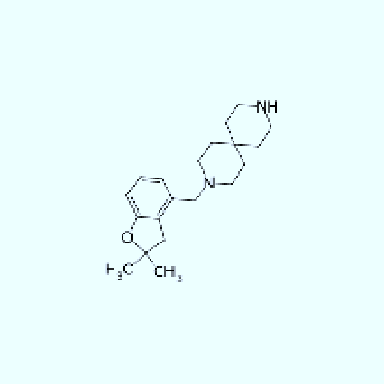 CC1(C)Cc2c(CN3CCC4(CCNCC4)CC3)cccc2O1